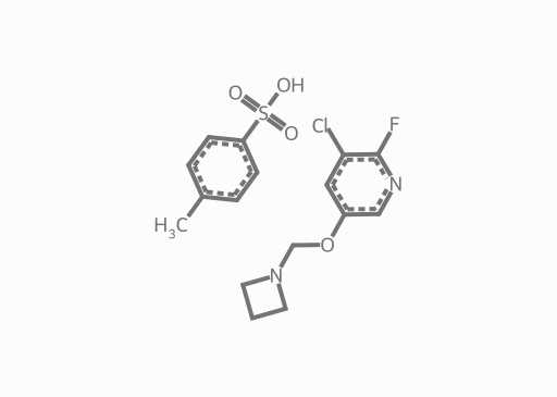 Cc1ccc(S(=O)(=O)O)cc1.Fc1ncc(OCN2CCC2)cc1Cl